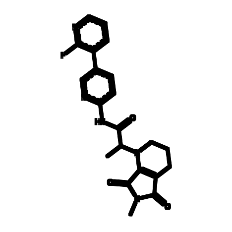 CC(C(=O)Nc1ccc(-c2cccnc2F)cn1)N1CCCC2=C1C(=O)N(C)C2=O